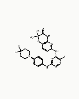 CC1(C)Oc2ccc(Nc3nc(Nc4ccc(N5CCC(F)(F)CC5)cc4)ncc3F)nc2NC1=O